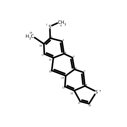 CSc1cc2cc3cc4sccc4cc3cc2cc1C